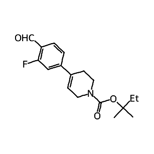 CCC(C)(C)OC(=O)N1CC=C(c2ccc(C=O)c(F)c2)CC1